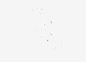 CCCCOC(=O)[C@H](Cc1ncc(-c2ccccc2)o1)ONC(=O)C1(C[C@@H](CCC)C(=O)O)CCCC1